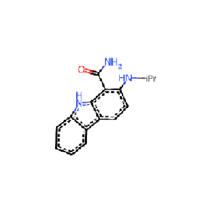 CC(C)Nc1ccc2c([nH]c3ccccc32)c1C(N)=O